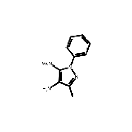 CNc1c(N)c(C)nn1-c1ccccc1